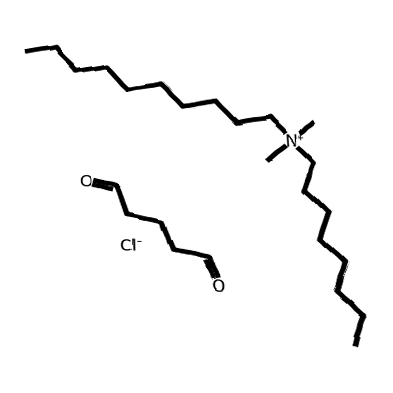 CCCCCCCCCC[N+](C)(C)CCCCCCCC.O=CCCCC=O.[Cl-]